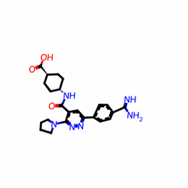 N=C(N)c1ccc(-c2cc(C(=O)N[C@H]3CC[C@H](C(=O)O)CC3)c(N3CCCC3)nn2)cc1